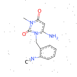 [C-]#[N+]c1ccccc1Cn1c(N)cc(=O)n(C)c1=O